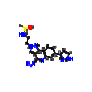 C[S+]([O-])NCCn1cc2c(N)nc3cc(-c4cc[nH]n4)ccc3c2n1